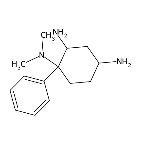 CN(C)C1(c2ccccc2)CCC(N)CC1N